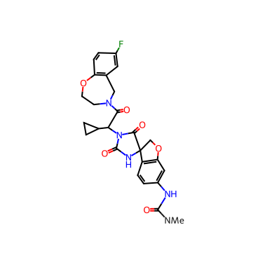 CNC(=O)Nc1ccc2c(c1)OCC21NC(=O)N(C(C(=O)N2CCOc3ccc(F)cc3C2)C2CC2)C1=O